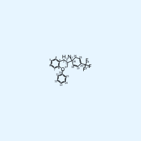 CC(Cc1ccccc1Oc1ccccc1)C1(N)C=CC(C(F)(F)F)=CC1